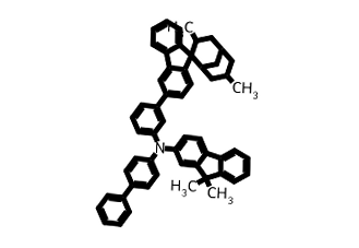 CC1CC2CC(C)C3(c4ccccc4-c4cc(-c5cccc(N(c6ccc(-c7ccccc7)cc6)c6ccc7c(c6)C(C)(C)c6ccccc6-7)c5)ccc43)C(C1)C2